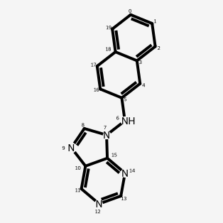 c1ccc2cc(Nn3cnc4cncnc43)ccc2c1